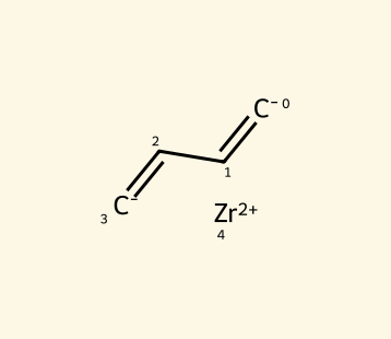 [CH-]=CC=[CH-].[Zr+2]